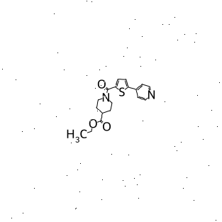 CCOC(=O)C1CCN(C(=O)c2ccc(-c3ccncc3)s2)CC1